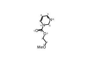 COCCOC(=O)N1C=CC=NC1